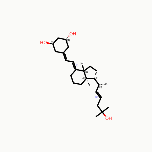 C[C@H](/C=C/CC(C)(C)O)[C@H]1CC[C@H]2/C(=C/C=C3C[C@@H](O)C[C@H](O)C3)CCC[C@]12C